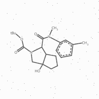 Cc1cccc(N(C)C(=O)C2C3CCCC3(O)CN2C(=O)OC(C)(C)C)c1